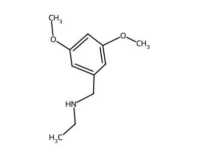 CCNCc1cc(OC)cc(OC)c1